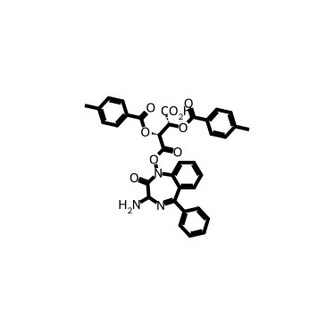 Cc1ccc(C(=O)O[C@@H](C(=O)O)[C@@H](OC(=O)c2ccc(C)cc2)C(=O)ON2C(=O)C(N)N=C(c3ccccc3)c3ccccc32)cc1